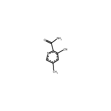 Cc1cnc(C(N)=O)c(C#N)c1